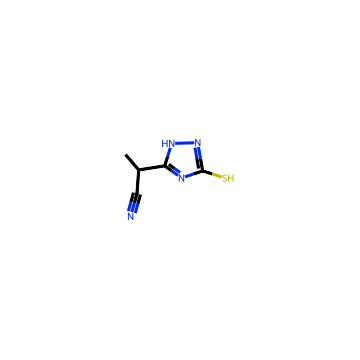 CC(C#N)c1nc(S)n[nH]1